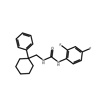 O=C(NCC1(c2ccccc2)CCCCC1)Nc1ccc(F)cc1F